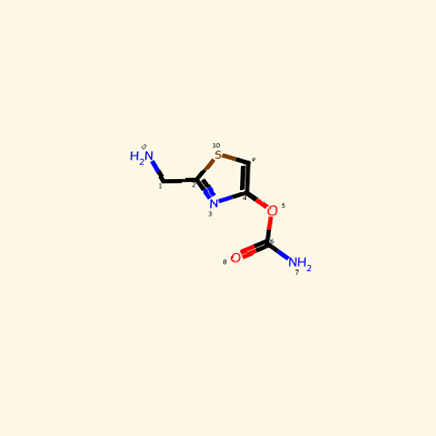 NCc1nc(OC(N)=O)cs1